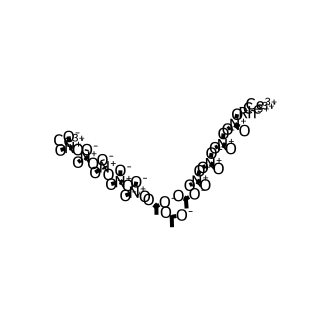 CC(=O)[O-].CC(=O)[O-].CC(=O)[O-].O=[N+]([O-])[O-].O=[N+]([O-])[O-].O=[N+]([O-])[O-].O=[N+]([O-])[O-].O=[N+]([O-])[O-].O=[N+]([O-])[O-].O=[N+]([O-])[O-].O=[N+]([O-])[O-].O=[N+]([O-])[O-].[Ce+3].[Ce+3].[Ce+3].[Rh+3]